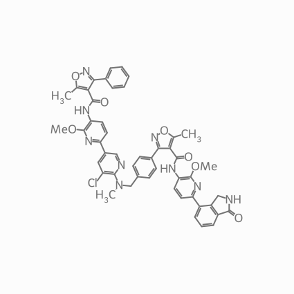 COc1nc(-c2cnc(N(C)Cc3ccc(-c4noc(C)c4C(=O)Nc4ccc(-c5cccc6c5CNC6=O)nc4OC)cc3)c(Cl)c2)ccc1NC(=O)c1c(-c2ccccc2)noc1C